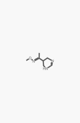 CON=C(C)C1CN=CNC1